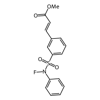 COC(=O)C=Cc1cccc(S(=O)(=O)N(F)c2ccccc2)c1